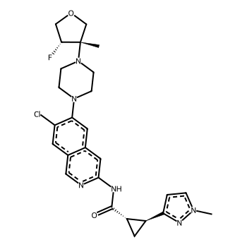 Cn1ccc([C@H]2C[C@@H]2C(=O)Nc2cc3cc(N4CCN([C@@]5(C)COC[C@H]5F)CC4)c(Cl)cc3cn2)n1